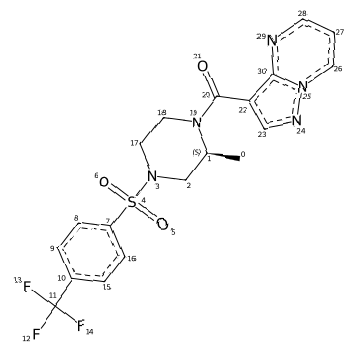 C[C@H]1CN(S(=O)(=O)c2ccc(C(F)(F)F)cc2)CCN1C(=O)c1cnn2cccnc12